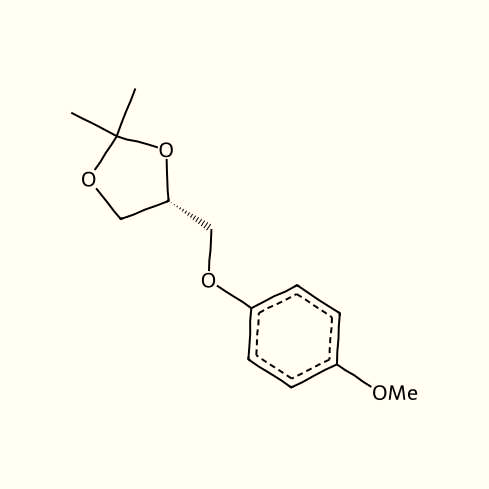 COc1ccc(OC[C@@H]2COC(C)(C)O2)cc1